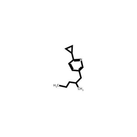 CCCC(C)Cc1ccc(C2CC2)nc1